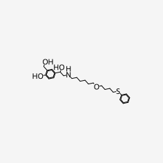 OCc1cc(C(O)CNCCCCCCOCCCCSc2ccccc2)ccc1O